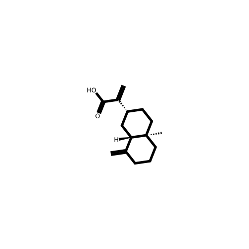 C=C(C(=O)O)[C@@H]1CC[C@@]2(C)CCCC(=C)[C@@H]2C1